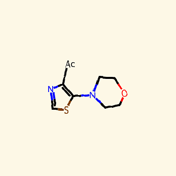 CC(=O)c1ncsc1N1CCOCC1